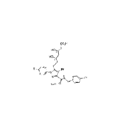 CC(C)c1ccc(CNC(=O)c2nn(-c3ccc(F)cc3)c(CC[C@@H](O)C[C@@H](O)CC(=O)O)c2C(C)C)cc1.[NaH]